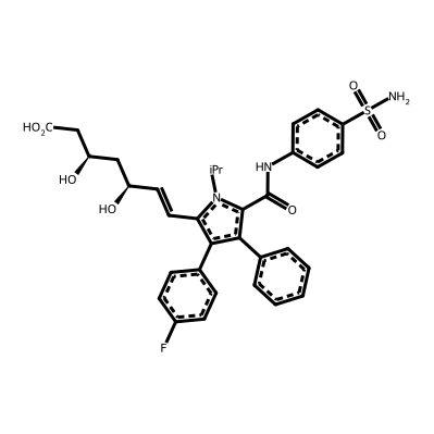 CC(C)n1c(C=C[C@@H](O)C[C@@H](O)CC(=O)O)c(-c2ccc(F)cc2)c(-c2ccccc2)c1C(=O)Nc1ccc(S(N)(=O)=O)cc1